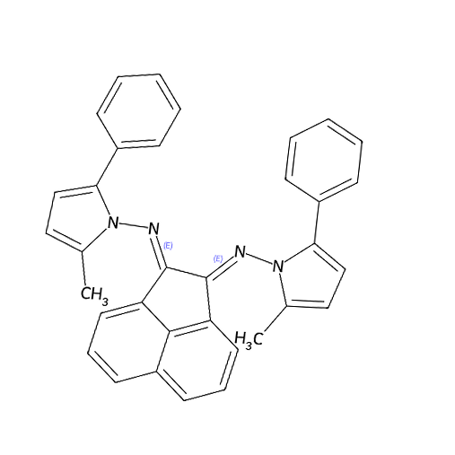 Cc1ccc(-c2ccccc2)n1/N=C1/C(=N/n2c(C)ccc2-c2ccccc2)c2cccc3cccc1c23